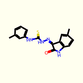 Cc1cccc(NC(=S)N/N=C2\C(=O)Nc3ccc(C)cc32)c1